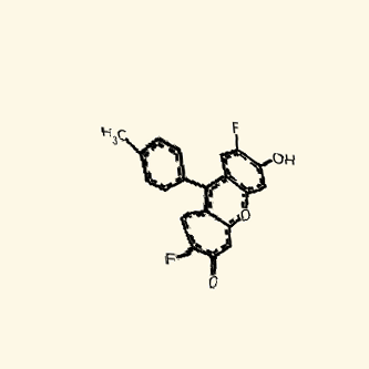 Cc1ccc(-c2c3cc(F)c(=O)cc-3oc3cc(O)c(F)cc23)cc1